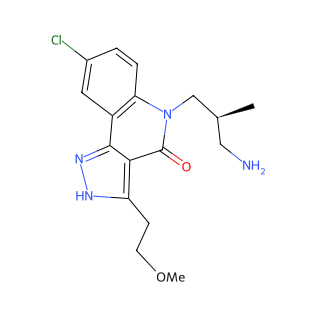 COCCc1[nH]nc2c1c(=O)n(C[C@@H](C)CN)c1ccc(Cl)cc21